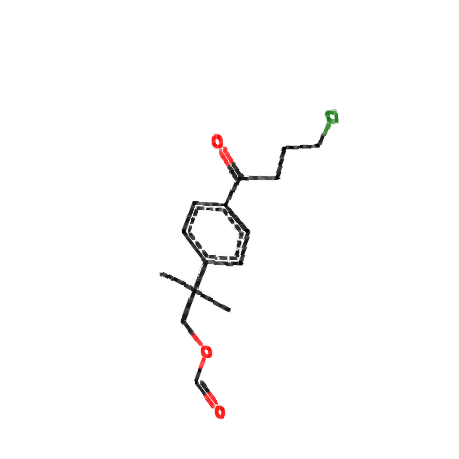 CC(C)(COC=O)c1ccc(C(=O)CCCCl)cc1